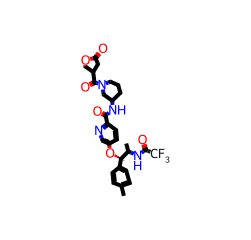 Cc1ccc([C@@H](Oc2ccc(C(=O)NC3CCCN(C(=O)C4COC(=O)C4)C3)nc2)C(C)NC(=O)C(F)(F)F)cc1